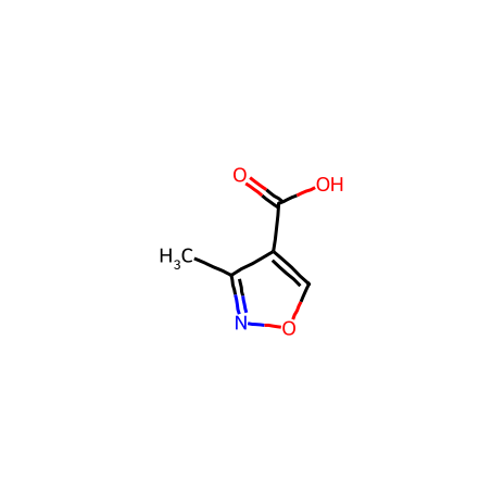 Cc1nocc1C(=O)O